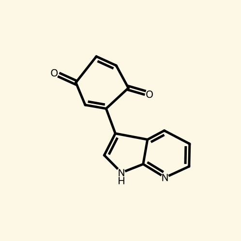 O=C1C=CC(=O)C(c2c[nH]c3ncccc23)=C1